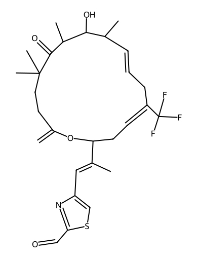 C=C1CCC(C)(C)C(=O)C(C)C(O)C(C)/C=C/C/C(C(F)(F)F)=C\CC(/C(C)=C/c2csc(C=O)n2)O1